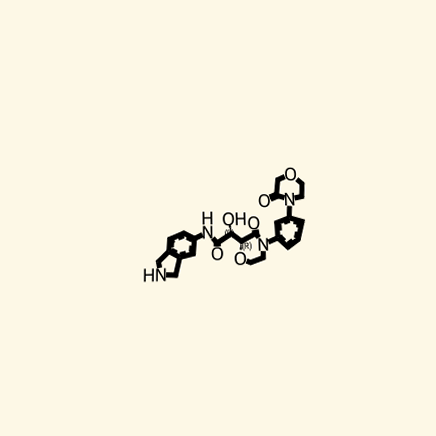 O=C(Nc1ccc2c(c1)CNC2)[C@H](O)[C@H]1OCCN(c2cccc(N3CCOCC3=O)c2)C1=O